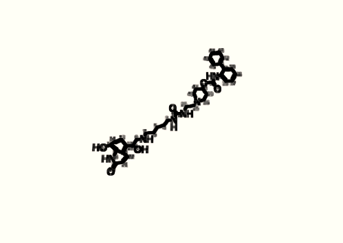 O=C(NCCCCCNC[C@@H](O)c1ccc(O)c2[nH]c(=O)ccc12)NCCN1CCC(OC(=O)Nc2ccccc2-c2ccccc2)CC1